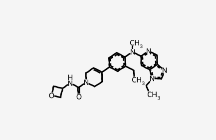 CCc1cc(C2=CCN(C(=O)NC3COC3)CC2)ccc1N(C)c1cc2c(cn1)ncn2CC